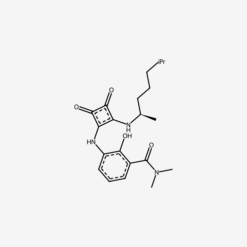 CC(C)CCC[C@@H](C)Nc1c(Nc2cccc(C(=O)N(C)C)c2O)c(=O)c1=O